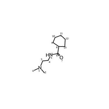 CN(C)CCNC(=O)C1CC[CH]CC1